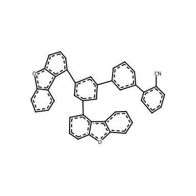 N#Cc1ccccc1-c1cccc(-c2cc(-c3cccc4oc5ccccc5c34)cc(-c3cccc4oc5ccccc5c34)c2)c1